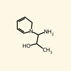 CC(O)C(N)N1C=CC=CC1